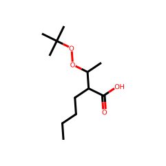 CCCCC(C(=O)O)C(C)OOC(C)(C)C